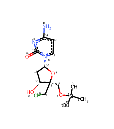 CC(C)(C)[Si](C)(C)OC[C@@]1(CCl)O[C@@H](n2ccc(N)nc2=O)C[C@H]1O